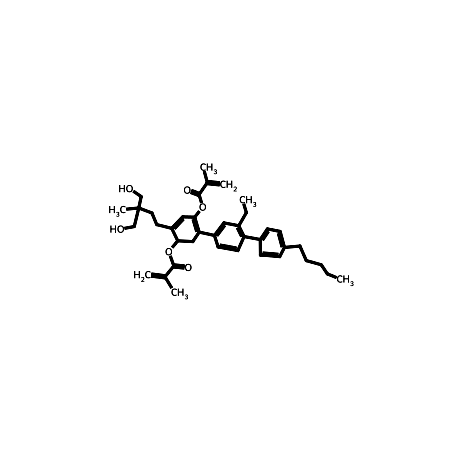 C=C(C)C(=O)OC1=C(c2ccc(-c3ccc(CCCCC)cc3)c(CC)c2)CC(OC(=O)C(=C)C)C(CCC(C)(CO)CO)=C1